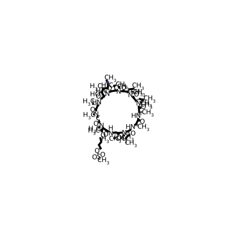 C/C=C/C[C@@H](C)[C@@H](O)[C@H]1C(=O)N[C@@H](CC)C(=O)N(C)CC(=O)N(C)[C@@H]([C@@H](C)OCCCCOS(C)(=O)=O)C(=O)N[C@@H](C(C)C)C(=O)N(C)[C@@H](CC(C)C)C(=O)N[C@@H](C)C(=O)N[C@H](C)C(=O)N(C)[C@@H](CC(C)C)C(=O)N(C)[C@H](CC(C)C)C(=O)N(C)[C@H](C(C)C)C(=O)N1C